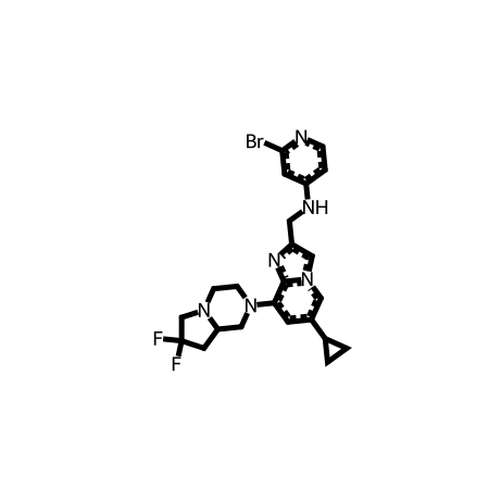 FC1(F)CC2CN(c3cc(C4CC4)cn4cc(CNc5ccnc(Br)c5)nc34)CCN2C1